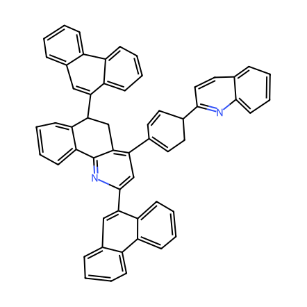 C1=CC(c2ccc3ccccc3n2)CC=C1c1cc(-c2cc3ccccc3c3ccccc23)nc2c1CC(c1cc3ccccc3c3ccccc13)c1ccccc1-2